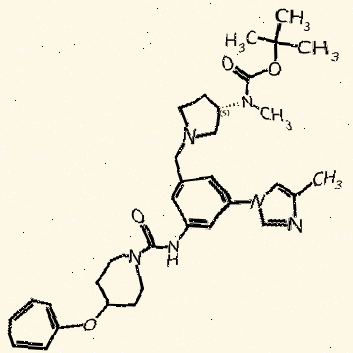 Cc1cn(-c2cc(CN3CC[C@H](N(C)C(=O)OC(C)(C)C)C3)cc(NC(=O)N3CCC(Oc4ccccc4)CC3)c2)cn1